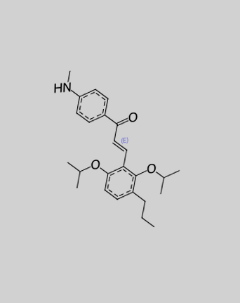 CCCc1ccc(OC(C)C)c(/C=C/C(=O)c2ccc(NC)cc2)c1OC(C)C